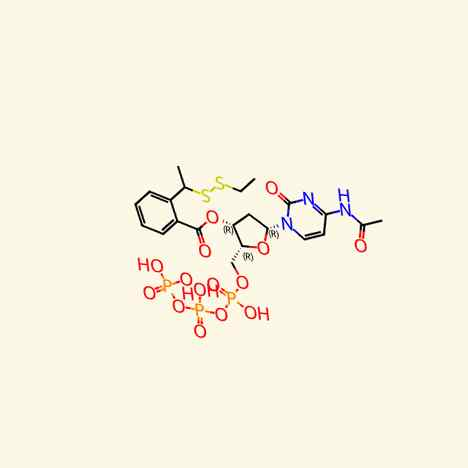 CCSSC(C)c1ccccc1C(=O)O[C@@H]1C[C@H](n2ccc(NC(C)=O)nc2=O)O[C@@H]1COP(=O)(O)OP(=O)(O)OP(=O)(O)O